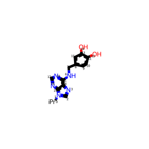 CC(C)n1cnc2c(NCc3ccc(O)c(O)c3)ncnc21